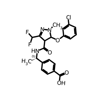 C[C@H](NC(=O)C1C(C(F)F)=NN(C)C1Oc1cccc(Cl)c1)c1ccc(C(=O)O)cc1